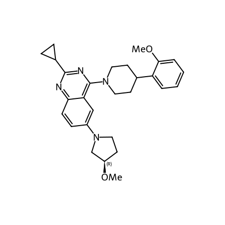 COc1ccccc1C1CCN(c2nc(C3CC3)nc3ccc(N4CC[C@@H](OC)C4)cc23)CC1